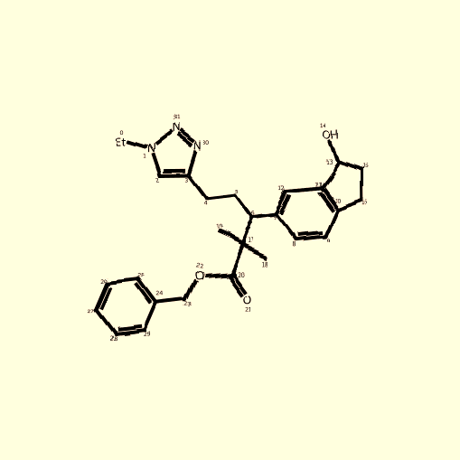 CCn1cc(CCC(c2ccc3c(c2)C(O)CC3)C(C)(C)C(=O)OCc2ccccc2)nn1